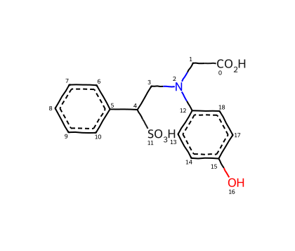 O=C(O)CN(CC(c1ccccc1)S(=O)(=O)O)c1ccc(O)cc1